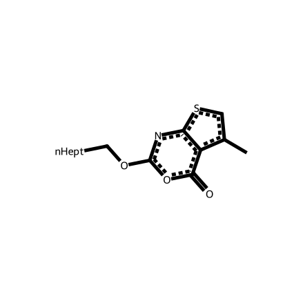 CCCCCCCCOc1nc2scc(C)c2c(=O)o1